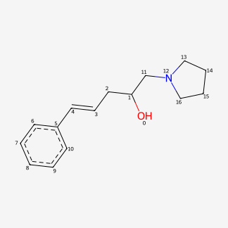 OC(C/C=C/c1ccccc1)CN1CCCC1